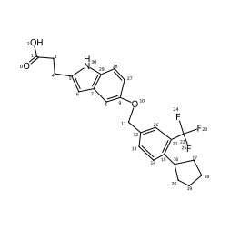 O=C(O)CCc1cc2cc(OCc3ccc(C4CCCC4)c(C(F)(F)F)c3)ccc2[nH]1